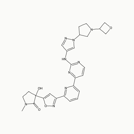 CN1CCC(O)(c2cc(-c3cccc(-c4ccnc(Nc5cnn(C6CCN(C7COC7)C6)c5)n4)n3)no2)C1=O